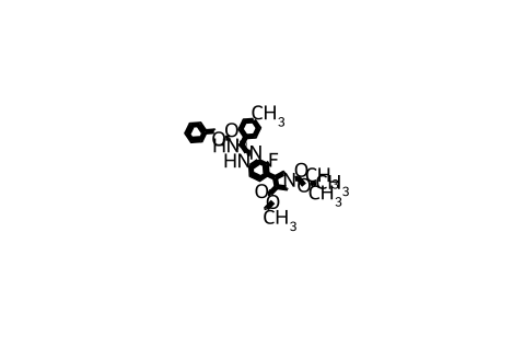 CCOC(=O)C1CN(C(=O)OC(C)(C)C)CC1c1ccc2[nH]c([C@@H](NC(=O)OCc3ccccc3)C3CCC(C)CC3)nc2c1F